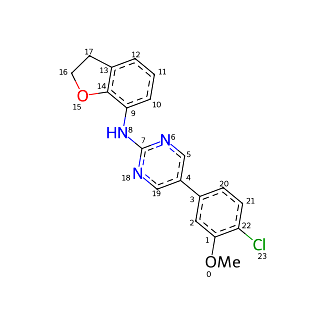 COc1cc(-c2cnc(Nc3cccc4c3OCC4)nc2)ccc1Cl